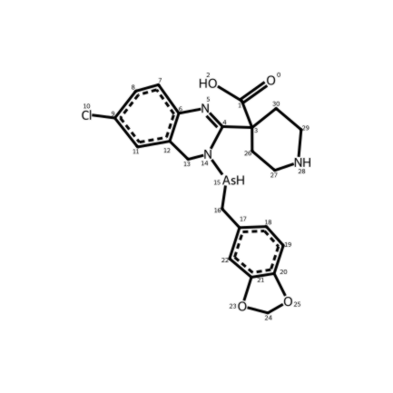 O=C(O)C1(C2=Nc3ccc(Cl)cc3CN2[AsH]Cc2ccc3c(c2)OCO3)CCNCC1